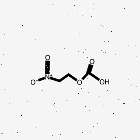 O=C(O)OCC[N+](=O)[O-]